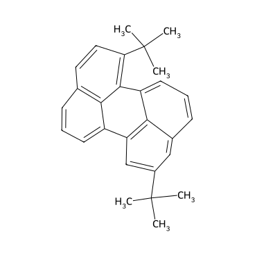 CC(C)(C)c1cc2cccc3c4c(C(C)(C)C)ccc5cccc(c(c1)c23)c54